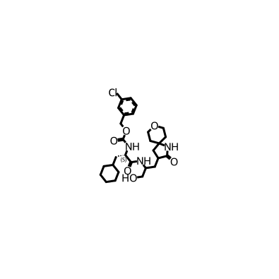 O=C(N[C@@H](CC1CCCCC1)C(=O)NC(CO)CC1CC2(CCOCC2)NC1=O)OCc1cccc(Cl)c1